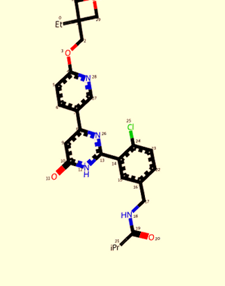 CCC1(COc2ccc(-c3cc(=O)[nH]c(-c4cc(CNC(=O)C(C)C)ccc4Cl)n3)cn2)COC1